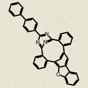 c1ccc(-c2ccc(-c3nc4nc(n3)c3ccccc3c3cc(cc5c6ccccc6oc53)c3ccccc43)cc2)cc1